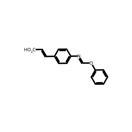 O=C(O)C=Cc1ccc(N=COc2ccccc2)cc1